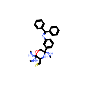 CNC1(NC)OC[C@](NC)(c2cccc(N=C(c3ccccc3)c3ccccc3)c2)NC1C=S